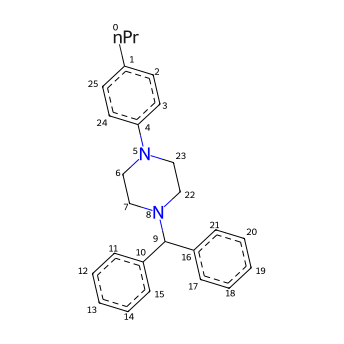 [CH2]CCc1ccc(N2CCN(C(c3ccccc3)c3ccccc3)CC2)cc1